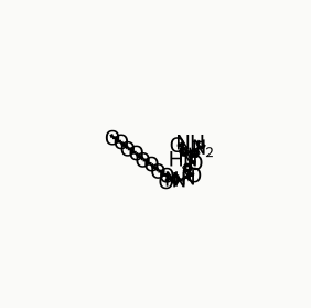 CCN(CC)c1ccc(NC(=O)c2cccc(C(=O)N(C)CCN3CCN(C(=O)OCCOCCOCCOCCOCCOCCOCCOC)CC3)c2)c(-c2cc(C(N)=O)ccn2)c1